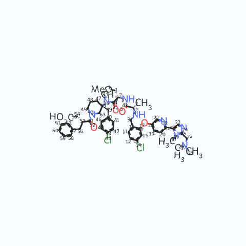 COC[C@H](NC(=O)[C@H](C)NCc1ccc(Cl)cc1Oc1ccc(-c2cnc(CN(C)C)n2C)nc1)C(=O)N(C)[C@@]1(Cc2ccc(Cl)cc2)CCCN(C(=O)[C@@H](CC(=O)O)Cc2ccccc2)C1